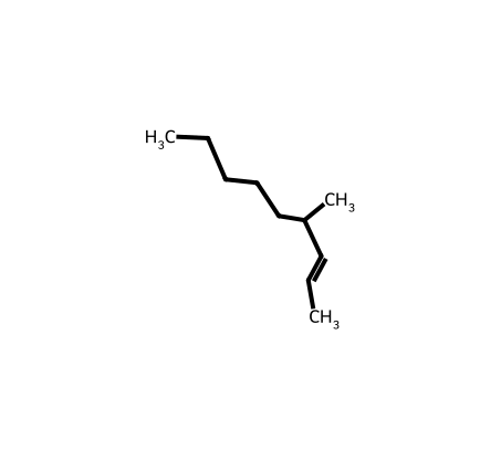 C/C=C/C(C)CCCCC